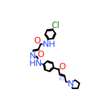 O=C(/C=C/CN1CCCC1)c1ccc(Nc2ncc(C(=O)Nc3ccc(Cl)cc3)o2)cc1